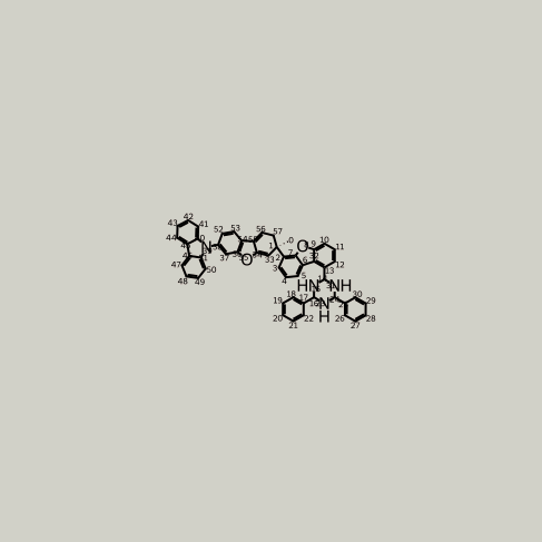 C[C@]1(c2cccc3c2oc2cccc(C4NC(c5ccccc5)NC(c5ccccc5)N4)c23)C=c2oc3cc(-n4c5ccccc5c5ccccc54)ccc3c2=CC1